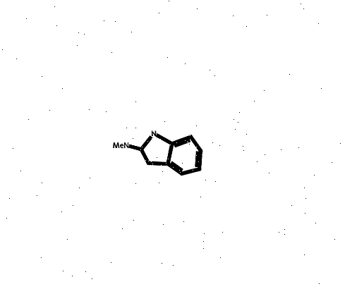 CNC1Cc2ccccc2[N]1